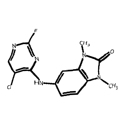 Cn1c(=O)n(C)c2cc(Nc3nc(F)ncc3Cl)ccc21